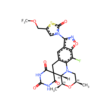 C[C@@H]1CN2c3c(cc4c(-n5cc(COC(F)(F)F)sc5=O)noc4c3F)CC3(C(=O)NC(=O)NC3=O)[C@H]2[C@H](C)O1